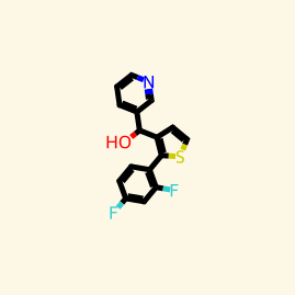 OC(c1cccnc1)c1ccsc1-c1ccc(F)cc1F